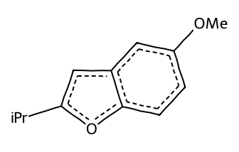 COc1ccc2oc(C(C)C)cc2c1